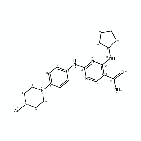 CC(=O)N1CCN(c2ccc(Nc3ncc(C(N)=O)c(NC4CCCC4)n3)cc2)CC1